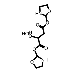 Cl.O=C(CC(O)C(=O)OC1NCCO1)OC1NCCO1